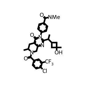 CNC(=O)c1ccc(-n2c(C(C)C3CC(C)(O)C3)nc3c(c2=O)CC(C)N(C(=O)c2ccc(Cl)c(C(F)(F)F)c2)C3)cc1